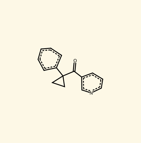 O=C(c1cccnc1)C1(c2ccccc2)CC1